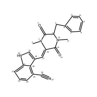 CN1C(=O)C(Cc2ccccc2)N(C)C(=O)/C1=C/c1c[nH]c2cccc(C#N)c12